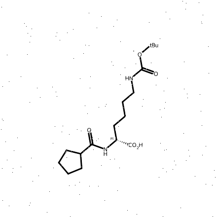 CC(C)(C)OC(=O)NCCCC[C@@H](NC(=O)C1CCCC1)C(=O)O